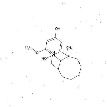 COc1cc(O)cc2c1CC1CCCCCC2(C)C1NO